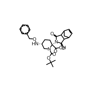 CC(C)(C)OC(=O)N1C[C@H](NOCc2ccccc2)CC[C@]1(C(=O)O)N1C(=O)C2C3C=CC(C3)C2C1=O